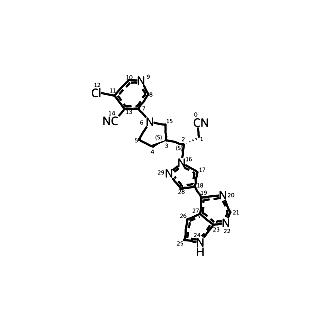 N#CC[C@@H]([C@H]1CCN(c2cncc(Cl)c2C#N)C1)n1cc(-c2ncnc3[nH]ccc23)cn1